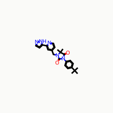 CC(C)(C)c1ccc(N2C(=O)N(Cc3ccnc(-c4ccn[nH]4)c3)C(C)(C)C2=O)cc1